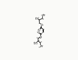 CCC(COC(=O)/C=C\C(=O)OCC(CC)CC(C)C)CC(C)C